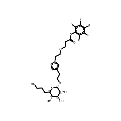 O=C(CCOCCn1cc(CCO[C@H]2O[C@H](CCCO)[C@@H](O)[C@H](O)[C@@H]2O)nn1)Oc1c(F)c(F)c(F)c(F)c1F